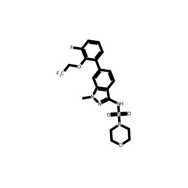 Cn1nc(NS(=O)(=O)N2CCOCC2)c2ccc(-c3cccc(F)c3OCC(F)(F)F)cc21